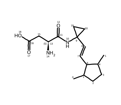 CC1CCC(C)C1C=CC1(NC(=O)[C@@H](N)CC(=O)O)CC1